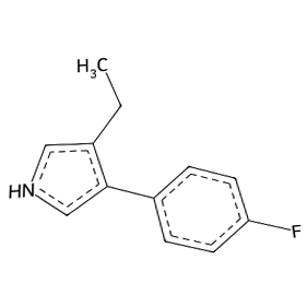 CCc1c[nH]cc1-c1ccc(F)cc1